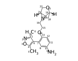 Cc1noc(C)c1-c1cc(N)ccc1OCCN1C[C@@H]2C[C@H]1CO2